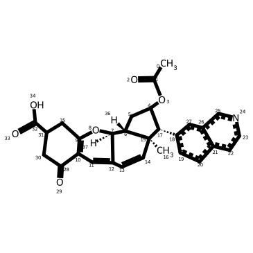 CC(=O)OC1C[C@H]2[C@@H]3OC4=C(C=C3C=C[C@]2(C)[C@H]1c1ccc2ccncc2c1)C(=O)CC(C(=O)O)C4